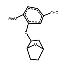 COc1ccc(C=O)cc1OC1CC2CCC1O2